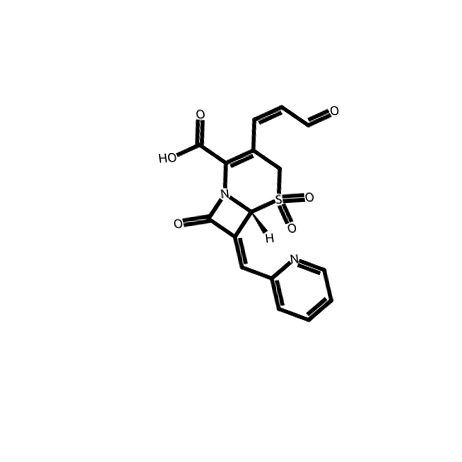 O=C/C=C\C1=C(C(=O)O)N2C(=O)/C(=C/c3ccccn3)[C@H]2S(=O)(=O)C1